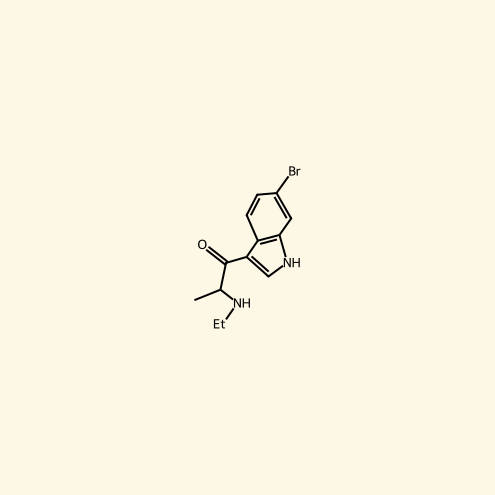 CCNC(C)C(=O)c1c[nH]c2cc(Br)ccc12